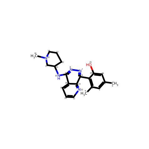 Cc1cc(C)c(-c2nnc(NC3CCCN(C)C3)c3cccnc23)c(O)c1